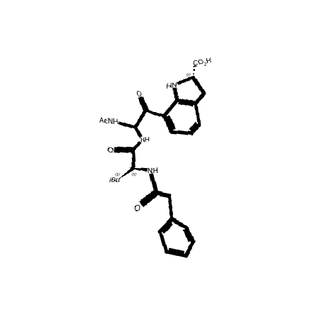 CC[C@H](C)[C@H](NC(=O)Cc1ccccc1)C(=O)NC(NC(C)=O)C(=O)c1cccc2c1N[C@H](C(=O)O)C2